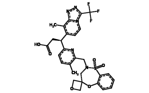 Cc1ccc([C@@H](CC(=O)O)c2ccn3c(C(F)(F)F)nnc3c2C)nc1CN1CC2(COC2)Oc2ccccc2S1(=O)=O